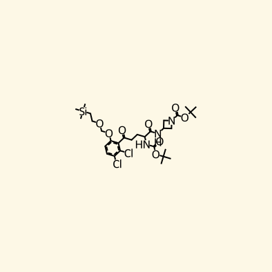 CC(C)(C)OC(=O)NC(CCC(=O)c1c(OCOCC[Si](C)(C)C)ccc(Cl)c1Cl)C(=O)NC1CN(C(=O)OC(C)(C)C)C1